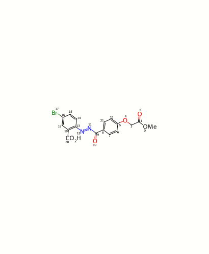 COC(=O)COc1ccc(C(=O)N=Nc2ccc(Br)cc2C(=O)O)cc1